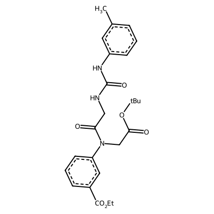 CCOC(=O)c1cccc(N(CC(=O)OC(C)(C)C)C(=O)CNC(=O)Nc2cccc(C)c2)c1